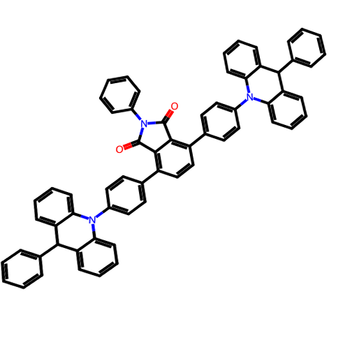 O=C1c2c(-c3ccc(N4c5ccccc5C(c5ccccc5)c5ccccc54)cc3)ccc(-c3ccc(N4c5ccccc5C(c5ccccc5)c5ccccc54)cc3)c2C(=O)N1c1ccccc1